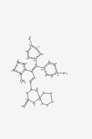 Cn1nnnc1C(C=CC1CC(=O)OC2(CCCCC2)O1)=C(c1ccc(F)cc1)c1ccc(F)cc1